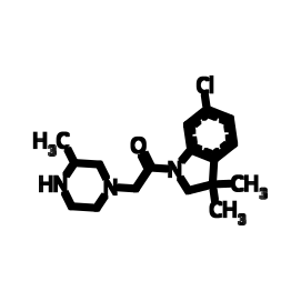 CC1CN(CC(=O)N2CC(C)(C)c3ccc(Cl)cc32)CCN1